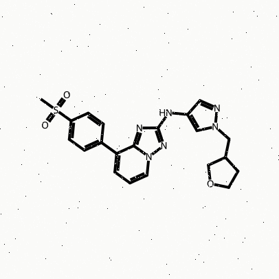 CS(=O)(=O)c1ccc(-c2cccn3nc(Nc4cnn(CC5CCOC5)c4)nc23)cc1